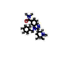 C=C1C(C)=CC(c2nc3ccc(C(=O)N(C)C)cc3n2Cc2ccccc2)=CN1C